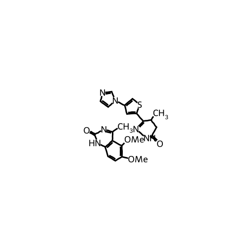 CC1CC(=O)NN=C1c1cc(-n2ccnc2)cs1.COc1ccc2[nH]c(=O)nc(C)c2c1OC